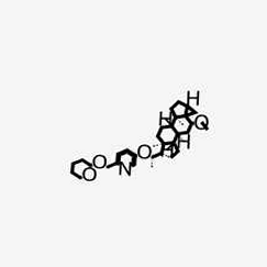 COC1C[C@H]2[C@@H]3CC[C@H]([C@H](C)Oc4ccc(COC5CCCCO5)nc4)[C@@]3(C)CC[C@@H]2[C@@]2(C)CC[C@@H]3CC132